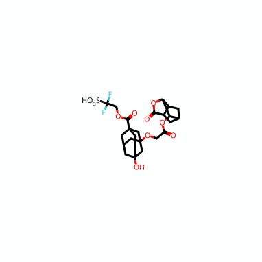 O=C(COC12CC3CC(O)(C1)CC(C(=O)OCC(F)(F)S(=O)(=O)O)(C3)C2)OC1C2CC3C(=O)OC1C3C2